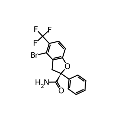 NC(=O)[C@@]1(c2ccccc2)Cc2c(ccc(C(F)(F)F)c2Br)O1